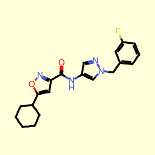 O=C(Nc1cnn(Cc2cccc(F)c2)c1)c1cc(C2CCCCC2)on1